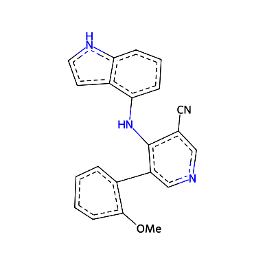 COc1ccccc1-c1cncc(C#N)c1Nc1cccc2[nH]ccc12